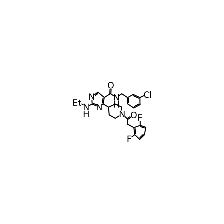 CCNc1ncc(C(=O)NCc2cccc(Cl)c2)c(C2CCN(C(=O)Cc3c(F)cccc3F)CC2)n1